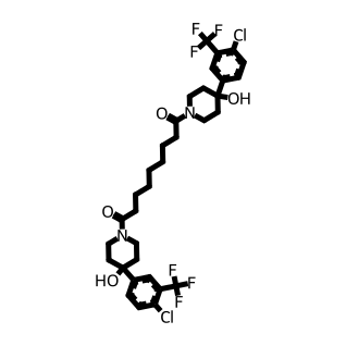 O=C(CCCCCCCC(=O)N1CCC(O)(c2ccc(Cl)c(C(F)(F)F)c2)CC1)N1CCC(O)(c2ccc(Cl)c(C(F)(F)F)c2)CC1